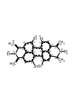 C=C1c2cc(CC)c3c4c(CC)cc5c6c(cc(CC)c(c7c(CC)cc(c2c37)C(=C)N1CC)c64)C(=C)N(CC)C5=C